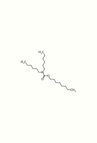 CCCCCCCCOC(=O)N(CCCCCC)CCCCCC